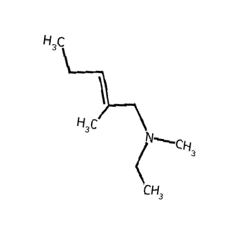 CC/C=C(\C)CN(C)CC